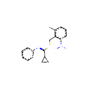 Cc1cccc(N(C)N)c1CSC(=Nc1ccccc1)C1CC1